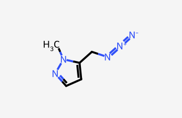 Cn1nccc1CN=[N+]=[N-]